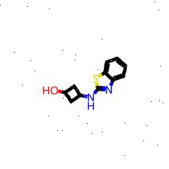 OC1CC(Nc2nc3ccccc3s2)C1